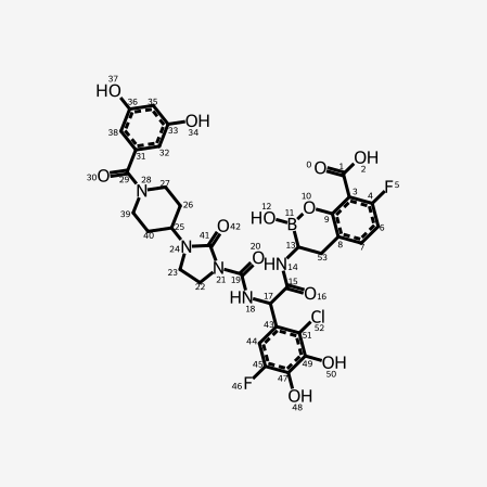 O=C(O)c1c(F)ccc2c1OB(O)C(NC(=O)C(NC(=O)N1CCN(C3CCN(C(=O)c4cc(O)cc(O)c4)CC3)C1=O)c1cc(F)c(O)c(O)c1Cl)C2